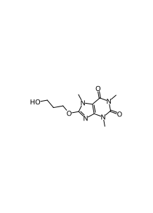 Cn1c(=O)c2c(nc(OCCCO)n2C)n(C)c1=O